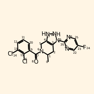 CC1CC2=C(CN1C(=O)c1cccc(Cl)c1Cl)NNN2c1ncc(F)cn1